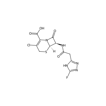 O=C(Cc1nnc(F)[nH]1)N[C@@H]1C(=O)N2C(C(=O)O)=C(Cl)CS[C@H]12